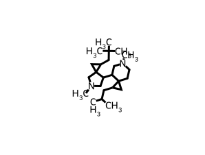 CC(C)CC1CC12CCN(C)CC2C1CN(C)CC12CC2CC(C)(C)C